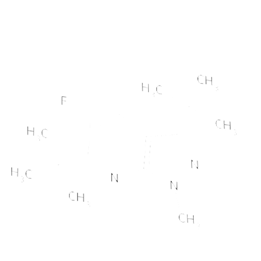 Cn1nc(C(C)(C)C)c2cc(F)c(C(C)(C)C)nc21